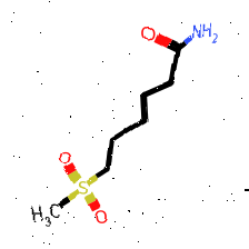 CS(=O)(=O)CCCCCC(N)=O